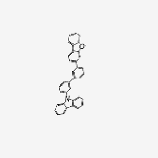 c1cc(-c2cccc(-n3c4ccccc4c4ccccc43)c2)cc(-c2ccc3c(c2)oc2ccccc23)c1